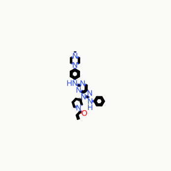 C=CC(=O)N1CCC[C@@H](n2c(Nc3ccccc3)nc3cnc(Nc4ccc(N5CCN(C)CC5)cc4)nc32)C1